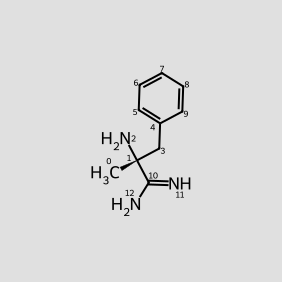 C[C@@](N)(Cc1ccccc1)C(=N)N